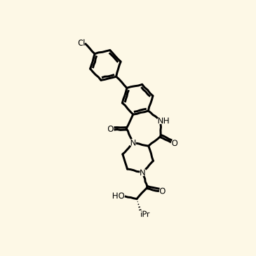 CC(C)[C@H](O)C(=O)N1CCN2C(=O)c3cc(-c4ccc(Cl)cc4)ccc3NC(=O)C2C1